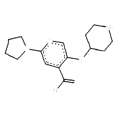 NC(=O)c1cc(N2CCCC2)ncc1OC1CCNCC1